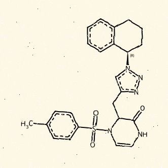 Cc1ccc(S(=O)(=O)N2C=CNC(=O)C2Cc2cn([C@@H]3CCCc4ccccc43)nn2)cc1